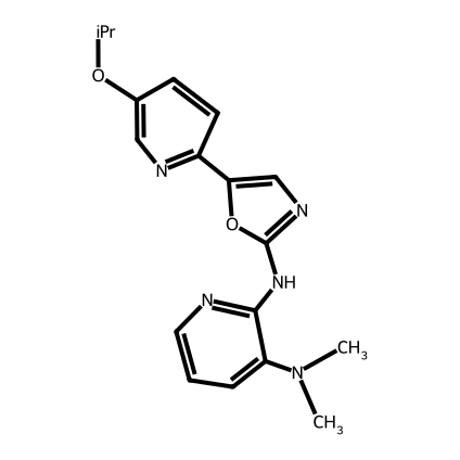 CC(C)Oc1ccc(-c2cnc(Nc3ncccc3N(C)C)o2)nc1